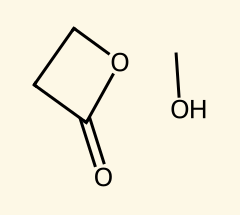 CO.O=C1CCO1